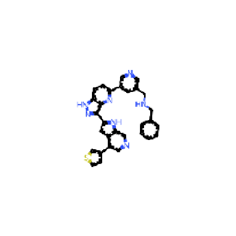 c1ccc(CNCc2cncc(-c3ccc4[nH]nc(-c5cc6c(-c7ccsc7)cncc6[nH]5)c4n3)c2)cc1